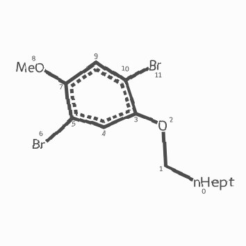 CCCCCCCCOc1cc(Br)c(OC)cc1Br